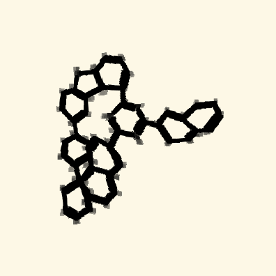 c1ccc2cc(-c3nc(C4=CC=CC5Oc6ccc(-c7ccc(-c8ccccc8)cc7)cc6C45)nc(-c4ccc5ccccc5c4)n3)ccc2c#1